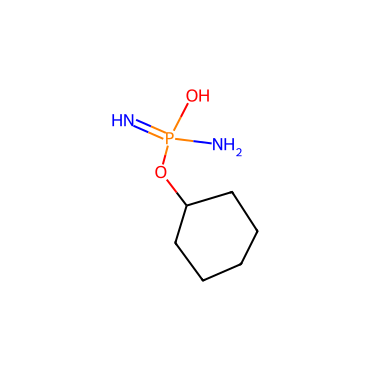 N=P(N)(O)OC1CCCCC1